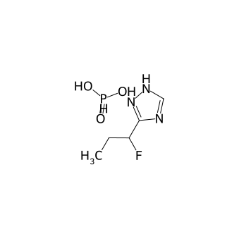 CCC(F)c1nc[nH]n1.O=[PH](O)O